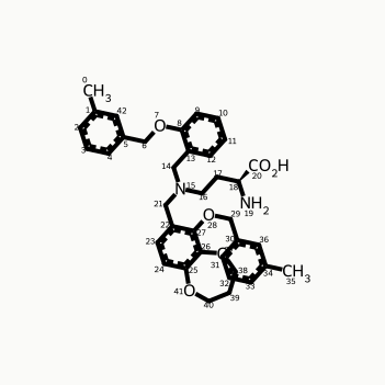 Cc1cccc(COc2ccccc2CN(CC[C@H](N)C(=O)O)Cc2ccc3c(c2OCc2cccc(C)c2)OCCCO3)c1